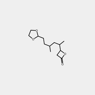 CC(CCC1OCCO1)CC(C)C1CC(=O)O1